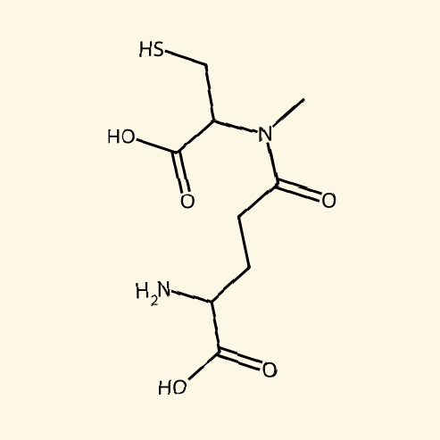 CN(C(=O)CCC(N)C(=O)O)C(CS)C(=O)O